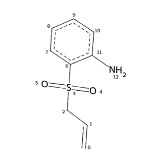 C=CCS(=O)(=O)c1ccccc1N